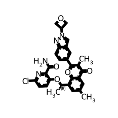 Cc1cc([C@@H](C)Oc2ccc(Cl)nc2C(N)=O)c2oc(-c3ccc4nn(C5COC5)cc4c3)c(C)c(=O)c2c1